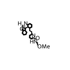 COCCNC(=O)c1cccc(CCc2cccc(N)c2-c2noc3ccccc23)n1